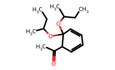 CCC(C)OC1(OC(C)CC)C=CC=CC1C(C)=O